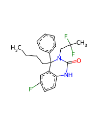 CCCCC1(c2ccccc2)c2cc(F)ccc2NC(=O)N1CC(C)(F)F